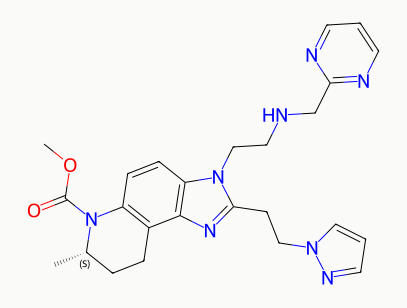 COC(=O)N1c2ccc3c(nc(CCn4cccn4)n3CCNCc3ncccn3)c2CC[C@@H]1C